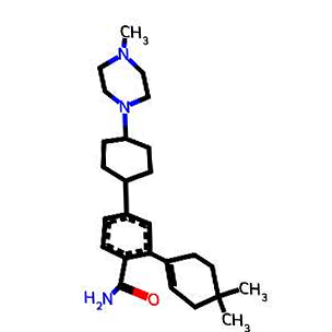 CN1CCN(C2CCC(c3ccc(C(N)=O)c(C4=CCC(C)(C)CC4)c3)CC2)CC1